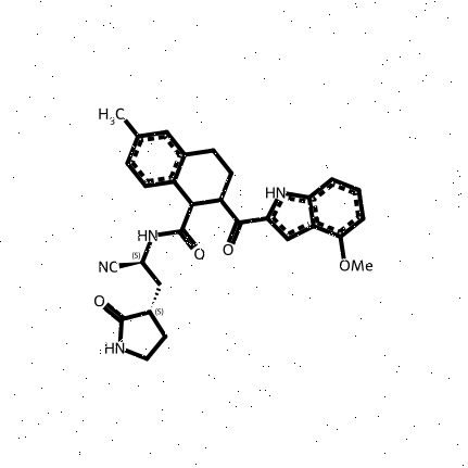 COc1cccc2[nH]c(C(=O)C3CCc4cc(C)ccc4C3C(=O)N[C@H](C#N)C[C@@H]3CCNC3=O)cc12